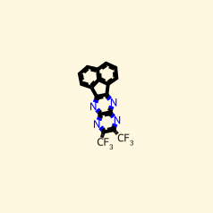 FC(F)(F)c1nc2nc3c(nc2nc1C(F)(F)F)-c1cccc2cccc-3c12